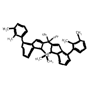 CCCC1(CCC)C2=Cc3c(-c4cccc(C)c4C)cccc3[CH]2[Hf]([CH3])([CH3])[CH]2C1=Cc1c(-c3cccc(C)c3C)cccc12